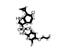 O=S(=O)(Nc1nc(F)c(OCCF)cc1F)c1c[nH]c2c(C3CC3)c(Cl)ccc12